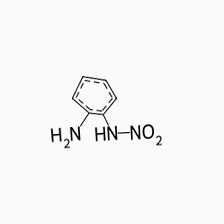 Nc1ccccc1N[N+](=O)[O-]